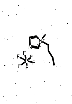 CCCC[N+]1(C)C=CN=C1.F[P-](F)(F)(F)(F)F